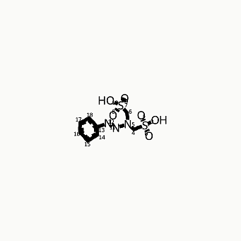 O=S(=O)(O)CN(CS(=O)(=O)O)N=Nc1ccccc1